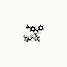 O=C(NC(c1ccccc1)c1ccc(C2CC2)c(F)c1)C1CC(F)CN1C(=O)Cc1noc(=O)[nH]1